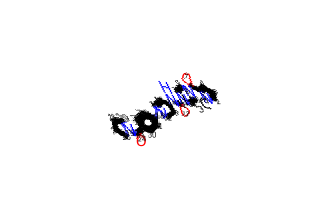 Cn1cccc1C(=O)N1CCN(C(=O)NC2CCN(c3ccc(C(=O)N4CCCC4)cc3)CC2)CC1